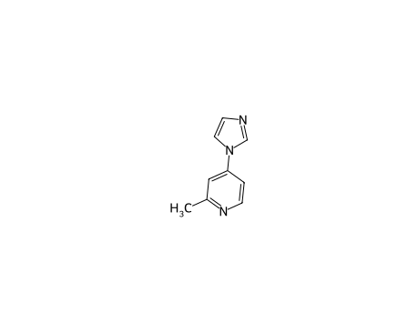 Cc1cc(-n2ccnc2)ccn1